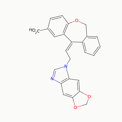 O=C(O)c1ccc2c(c1)/C(=C/Cn1cnc3cc4c(cc31)OCO4)c1ccccc1CO2